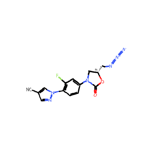 N#Cc1cnn(-c2ccc(N3C[C@H](CN=[N+]=[N-])OC3=O)cc2F)c1